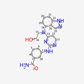 NC(=O)c1cccc(Nc2nccc(N(CCO)c3cccc4[nH]ncc34)n2)c1